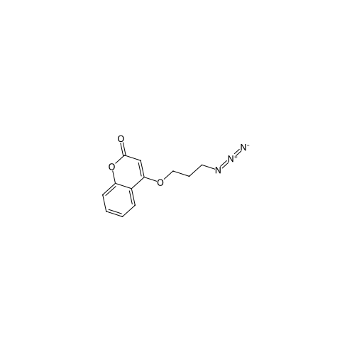 [N-]=[N+]=NCCCOc1cc(=O)oc2ccccc12